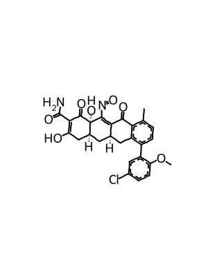 COc1ccc(Cl)cc1-c1ccc(C)c2c1C[C@H]1C[C@H]3CC(O)=C(C(N)=O)C(=O)[C@@]3(O)C(N=O)=C1C2=O